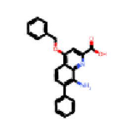 Nc1c(-c2ccccc2)ccc2c(OCc3ccccc3)cc(C(=O)O)nc12